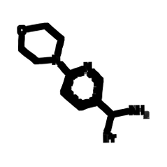 CC(C)C(N)c1ccc(N2CCOCC2)nc1